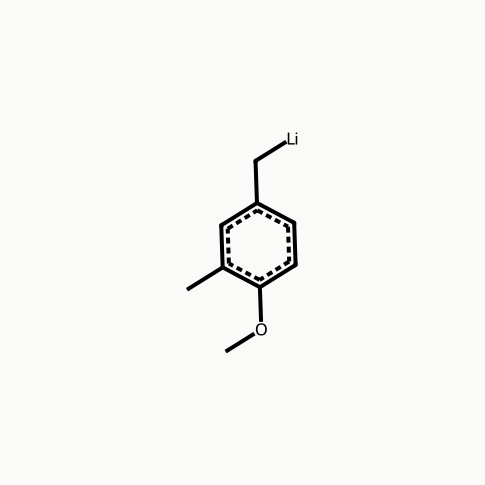 [Li][CH2]c1ccc(OC)c(C)c1